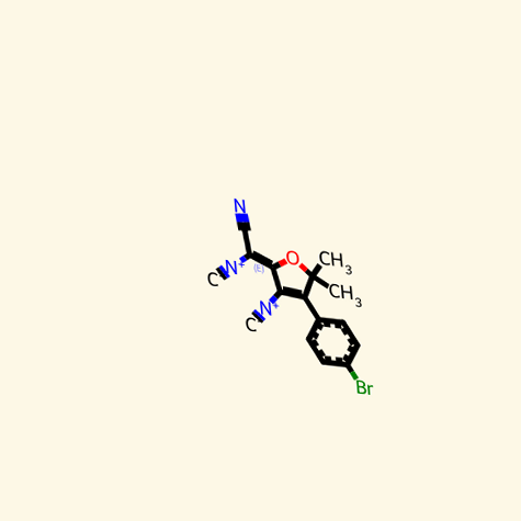 [C-]#[N+]C1=C(c2ccc(Br)cc2)C(C)(C)O/C1=C(\C#N)[N+]#[C-]